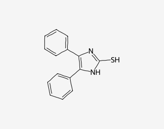 Sc1nc(-c2ccccc2)c(-c2ccccc2)[nH]1